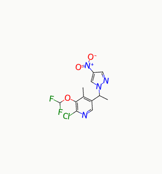 Cc1c(C(C)n2cc([N+](=O)[O-])cn2)cnc(Cl)c1OC(F)F